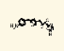 Nc1ccc(Cc2cc(CC(=O)C(=O)c3nn[nH]n3)co2)cc1